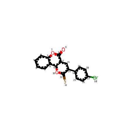 O=c1oc2ccccc2c2oc(=S)c(-c3ccc(Br)cc3)cc12